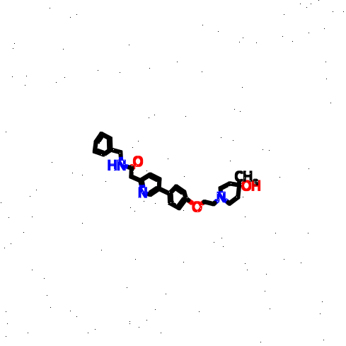 CC1(O)CCN(CCOc2ccc(-c3ccc(CC(=O)NCc4ccccc4)nc3)cc2)CC1